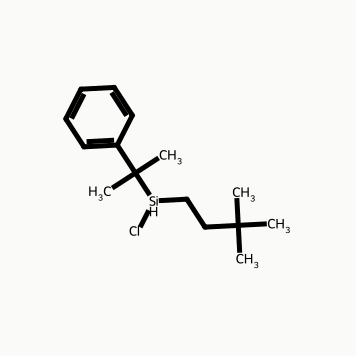 CC(C)(C)CC[SiH](Cl)C(C)(C)c1ccccc1